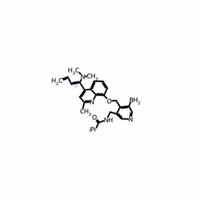 Bc1cncc(CNC(=O)C(C)C)c1COc1cccc2c(/C(=C/C=C)N(C)C)cc(C)nc12